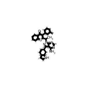 CC(c1oc2ccccc2c(=O)c1-c1cccc(F)c1)n1nc(C2C=Cc3cc[nH]c3C2)c2c(N)ncnc21